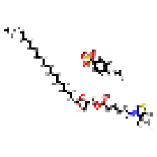 CCCCCCCCCCCCCCCCC[C@H]1OC[C@H](COC(=O)CCCCC[n+]2cscc2C)O1.Cc1ccc(S(=O)(=O)[O-])cc1